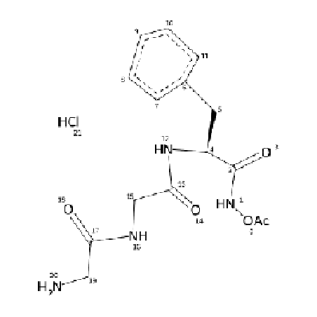 CC(=O)ONC(=O)[C@H](Cc1ccccc1)NC(=O)CNC(=O)CN.Cl